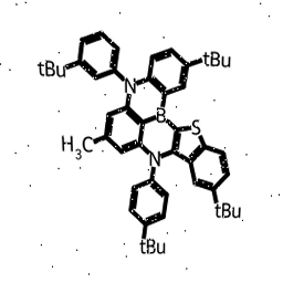 Cc1cc2c3c(c1)N(c1ccc(C(C)(C)C)cc1)c1c(sc4ccc(C(C)(C)C)cc14)B3c1cc(C(C)(C)C)ccc1N2c1cccc(C(C)(C)C)c1